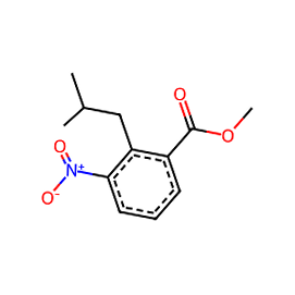 COC(=O)c1cccc([N+](=O)[O-])c1CC(C)C